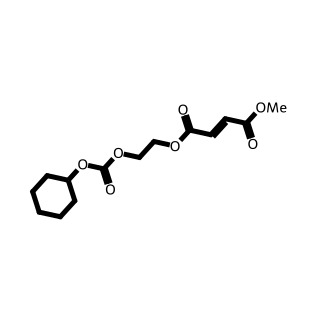 COC(=O)/C=C/C(=O)OCCOC(=O)OC1CCCCC1